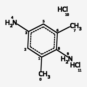 Cc1cc(N)cc(C)c1N.Cl.Cl